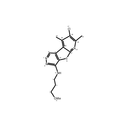 COCCCNc1nncc2c1sc1nc(C)c(Cl)c(C)c12